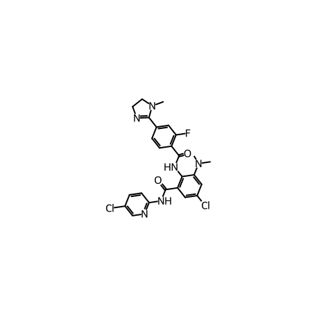 CN1CCN=C1c1ccc(C(=O)Nc2c(C(=O)Nc3ccc(Cl)cn3)cc(Cl)cc2N(C)C)c(F)c1